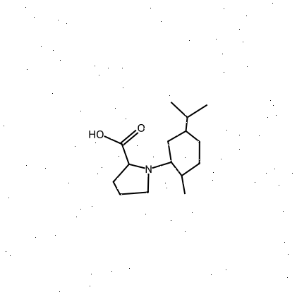 CC(C)C1CCC(C)C(N2CCCC2C(=O)O)C1